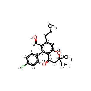 CCCc1cc2c(c(-c3ccc(F)cc3)c1C=O)C(=O)CC(C)(C)O2